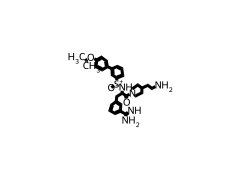 CC(C)Oc1ccc(-c2cccc([S+]([O-])NC(Cc3cccc(C(=N)N)c3)C(=O)N3CCC(CCN)CC3)c2)cc1